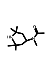 CC(=O)N(C)C1CC(C)(C)NC(C)(C)C1